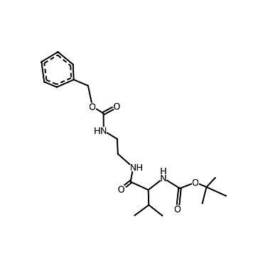 CC(C)C(NC(=O)OC(C)(C)C)C(=O)NCCNC(=O)OCc1ccccc1